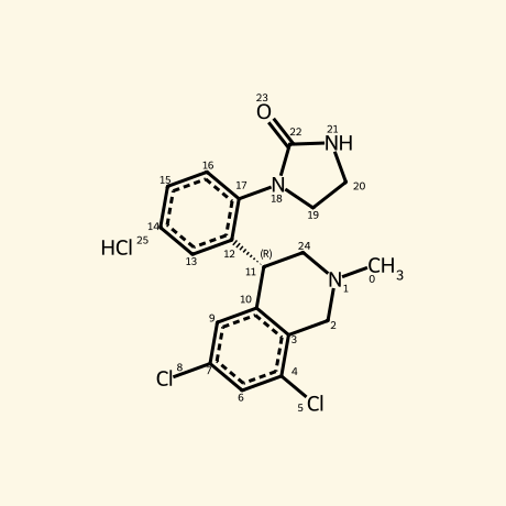 CN1Cc2c(Cl)cc(Cl)cc2[C@H](c2ccccc2N2CCNC2=O)C1.Cl